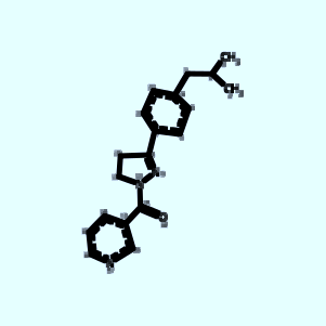 CC(C)Cc1ccc(C2=NN(C(=O)c3cccnc3)CC2)cc1